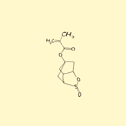 C=C(C)C(=O)OC12CC3OS(=O)C(C1)C3C2